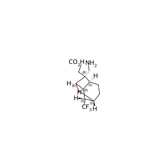 NC[C@@]1(CC(=O)O)[C@@H]2C[C@@H]3CC[C@H]1[C@H]2[C@H]3C(F)(F)F